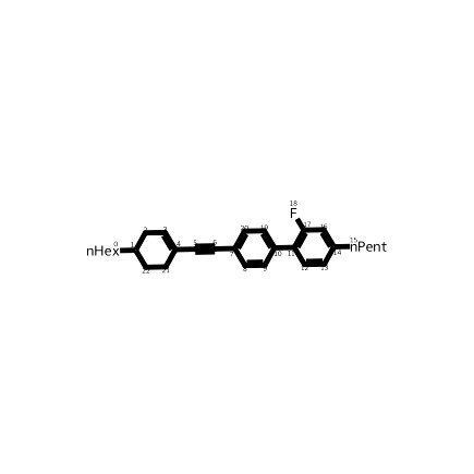 CCCCCCC1CC=C(C#Cc2ccc(-c3ccc(CCCCC)cc3F)cc2)CC1